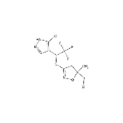 CC1(CCl)CC(SC(c2cn[nH]c2Cl)C(F)(F)F)=NO1